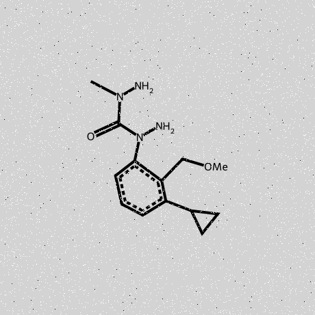 COCc1c(C2CC2)cccc1N(N)C(=O)N(C)N